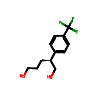 OCCC[C@@H](CO)c1ccc(C(F)(F)F)cc1